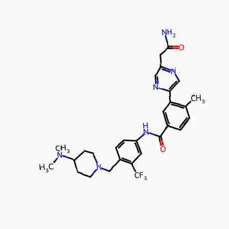 Cc1ccc(C(=O)Nc2ccc(CN3CCC(N(C)C)CC3)c(C(F)(F)F)c2)cc1-c1cnc(CC(N)=O)cn1